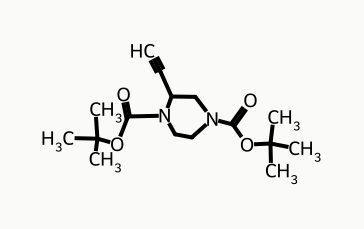 C#CC1CN(C(=O)OC(C)(C)C)CCN1C(=O)OC(C)(C)C